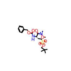 CON(C)C(=O)[C@H](CCS(=O)(=O)OCC(C)(C)C)NC(=O)OCc1ccccc1